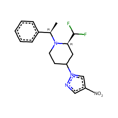 C[C@H](c1ccccc1)N1CCC(n2cc([N+](=O)[O-])cn2)C[C@@H]1C(F)F